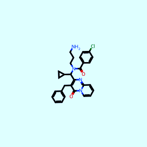 NCCCN(C(=O)c1ccc(Cl)cc1)C(c1nc2ccccn2c(=O)c1Cc1ccccc1)C1CC1